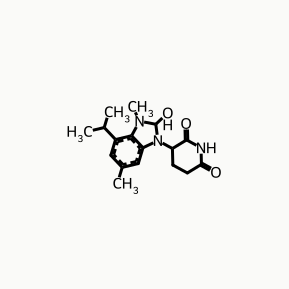 Cc1cc(C(C)C)c2c(c1)N(C1CCC(=O)NC1=O)C(O)N2C